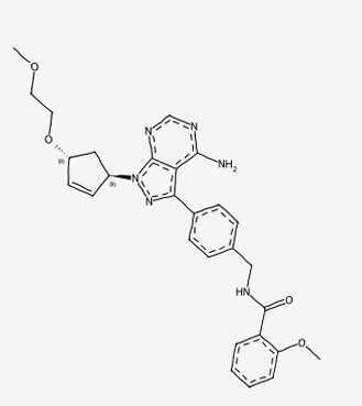 COCCO[C@H]1C=C[C@H](n2nc(-c3ccc(CNC(=O)c4ccccc4OC)cc3)c3c(N)ncnc32)C1